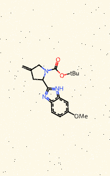 C=C1CC(c2nc3ccc(OC)cc3[nH]2)N(C(=O)OC(C)(C)C)C1